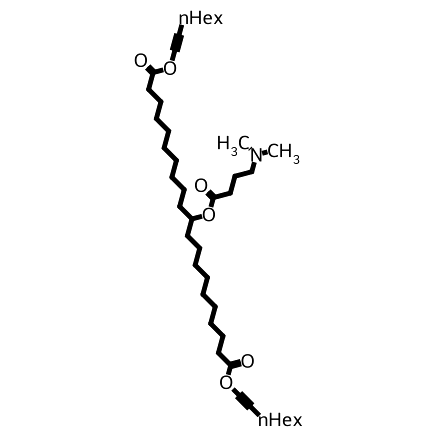 CCCCCCC#COC(=O)CCCCCCCCCC(CCCCCCCCCC(=O)OC#CCCCCCC)OC(=O)CCCN(C)C